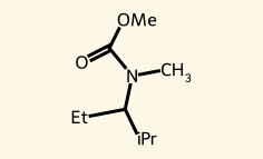 CCC(C(C)C)N(C)C(=O)OC